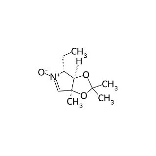 CC[C@@H]1[C@H]2OC(C)(C)O[C@@]2(C)C=[N+]1[O-]